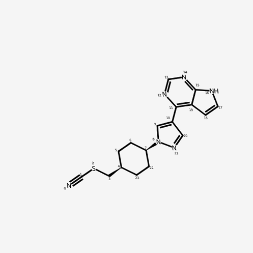 N#CSC[C@H]1CC[C@@H](n2cc(-c3ncnc4[nH]ccc34)cn2)CC1